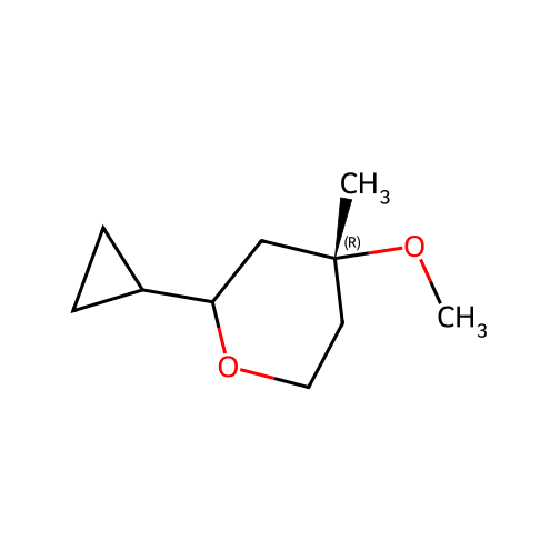 CO[C@]1(C)CCOC(C2CC2)C1